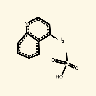 CS(=O)(=O)O.Nc1ccnc2ccccc12